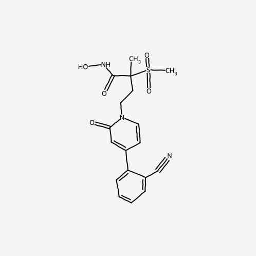 CC(CCn1ccc(-c2ccccc2C#N)cc1=O)(C(=O)NO)S(C)(=O)=O